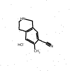 Cc1cc2c(cc1C#N)CNCC2.Cl